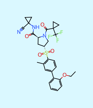 CCOc1ccccc1-c1ccc(S(=O)(=O)[C@@H]2C[C@@H](C(=O)NC3(C#N)CC3)N(C(=O)C3(C(F)(F)F)CC3)C2)c(C)c1